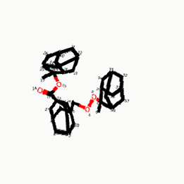 CC1(OOCC23CC4CC(C2)CC(C(=O)OC2(C)C5CC6CC(C5)CC2C6)(C4)C3)C2CC3CC(C2)CC1C3